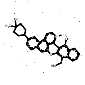 Cc1c2c(c(CC(C)(C)C)c3ccccc13)Sc1cc3ccc(C4CCC(C)(C)CC4)cc3c3cc[n+](C)c-2c13